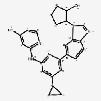 N#Cc1ccnc(Nc2cc(C3CC3)cc(-c3ccc4ncn(C5CCCC5O)c4c3)n2)c1